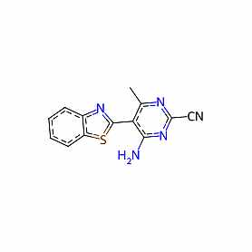 Cc1nc(C#N)nc(N)c1-c1nc2ccccc2s1